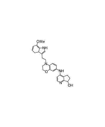 COC1=C2NC=C(CCN3CCOc4cc(Nc5ccnc6c5CCC6O)ccc43)C2CC=C1